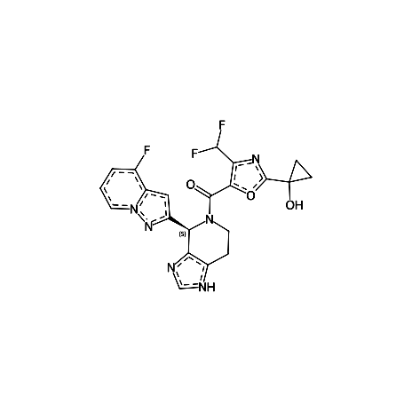 O=C(c1oc(C2(O)CC2)nc1C(F)F)N1CCc2[nH]cnc2[C@H]1c1cc2c(F)cccn2n1